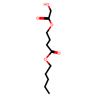 CCCCCOC(=O)CCCOC(=O)CO